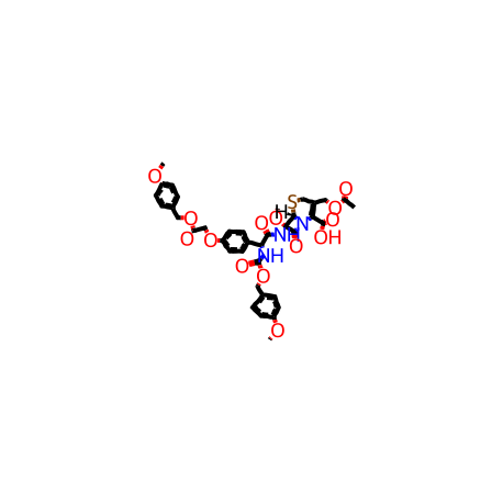 COc1ccc(COC(=O)COc2ccc(C(NC(=O)OCc3ccc(OC)cc3)C(=O)N[C@]3(OC)C(=O)N4C(C(=O)O)=C(COC(C)=O)CS[C@H]43)cc2)cc1